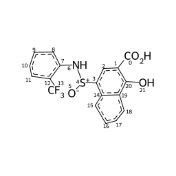 O=C(O)c1cc([S+]([O-])Nc2ccccc2C(F)(F)F)c2ccccc2c1O